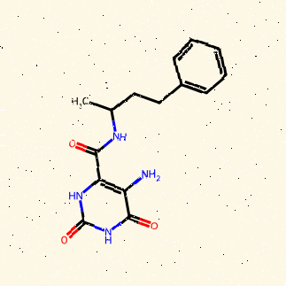 CC(CCc1ccccc1)NC(=O)c1[nH]c(=O)[nH]c(=O)c1N